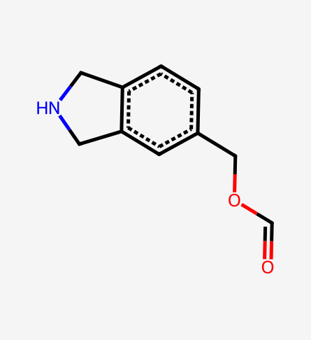 O=COCc1ccc2c(c1)CNC2